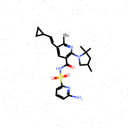 CC1CN(c2nc(C(C)(C)C)c(/C=C/C3CC3)cc2C(=O)NS(=O)(=O)c2cccc(N)n2)C(C)(C)C1